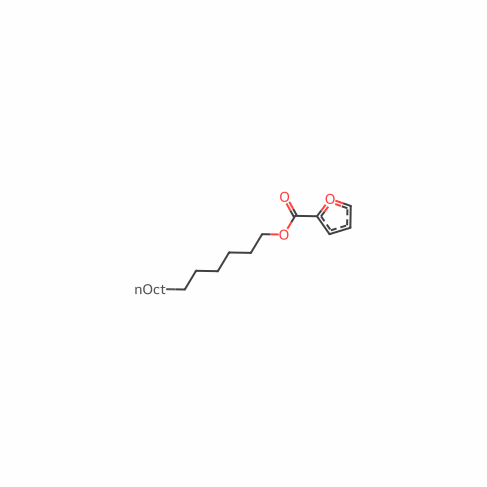 CCCCCCCCCCCCCCOC(=O)c1ccco1